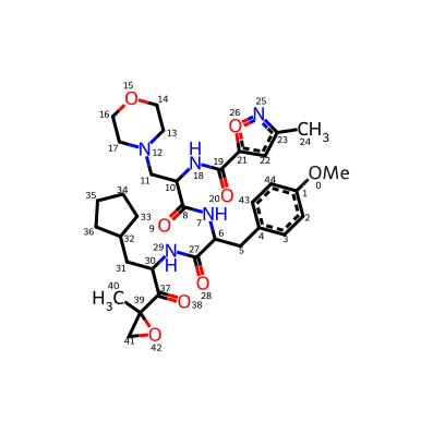 COc1ccc(CC(NC(=O)C(CN2CCOCC2)NC(=O)c2cc(C)no2)C(=O)NC(CC2CCCC2)C(=O)C2(C)CO2)cc1